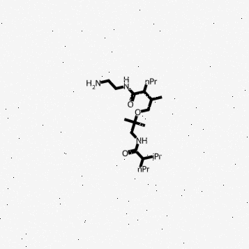 CCCC(C(=O)NCC(C)(C)OCC(C)C(CCC)C(=O)NCCN)C(C)C